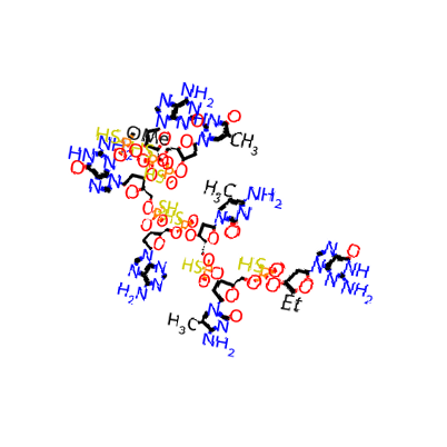 CC[C@H]1O[C@@H](n2cnc3c(=O)[nH]c(N)nc32)CC1OP(=O)(S)OC[C@H]1O[C@@H](n2cc(C)c(N)nc2=O)CC1OP(=O)(S)OC[C@H]1O[C@@H](n2cc(C)c(N)nc2=O)CC1OP(=O)(S)OC[C@H]1O[C@@H](n2cnc3c(N)ncnc32)CC1OP(=O)(S)OC[C@H]1O[C@@H](n2cnc3c(=O)[nH]c(N)nc32)CC1OP(=O)(S)OC[C@H]1O[C@@H](n2cc(C)c(=O)[nH]c2=O)CC1OP(=O)(S)OC[C@H]1O[C@@H](n2cnc3c(N)ncnc32)CC1OP(=O)(S)OC